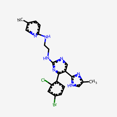 Cc1c[nH]c(-c2cnc(NCCNc3ccc(C#N)cn3)nc2-c2ccc(Br)cc2Cl)n1